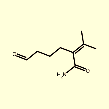 CC(C)=C(CCCC=O)C(N)=O